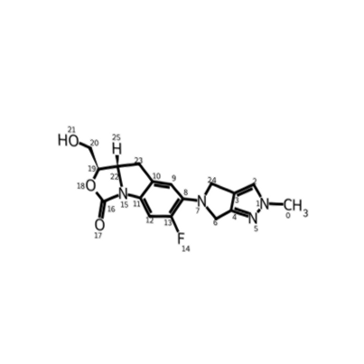 Cn1cc2c(n1)CN(c1cc3c(cc1F)N1C(=O)O[C@@H](CO)[C@@H]1C3)C2